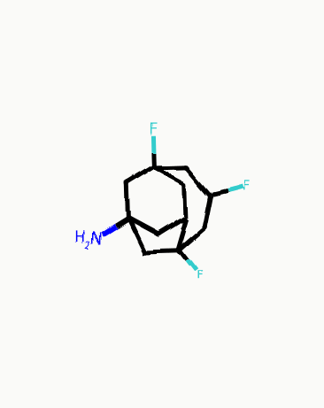 NC12CC3CC(F)(CC(F)CC3(F)C1)C2